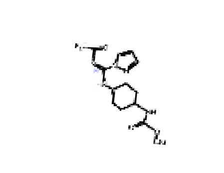 CC(C)(C)OC(=O)NC1CCC(N/C(=N/C(=O)C(F)(F)F)n2cccn2)CC1